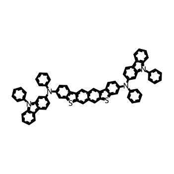 c1ccc(N(c2ccc3c(c2)sc2cc4cc5sc6cc(N(c7ccccc7)c7ccc8c9ccccc9n(-c9ccccc9)c8c7)ccc6c5cc4cc23)c2ccc3c4ccccc4n(-c4ccccc4)c3c2)cc1